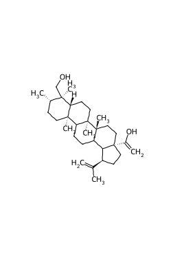 C=C(C)[C@@H]1CC[C@]2(C(=C)O)CC[C@]3(C)C(CCC4[C@@]5(C)CC[C@H](C)[C@@](C)(CO)[C@@H]5CC[C@]43C)C12